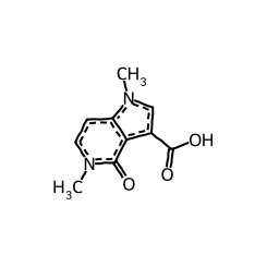 Cn1ccc2c(c(C(=O)O)cn2C)c1=O